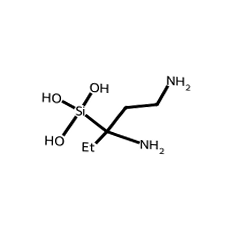 CCC(N)(CCN)[Si](O)(O)O